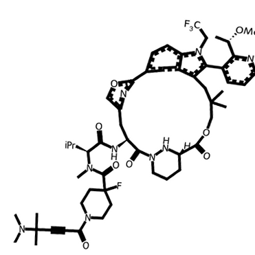 CO[C@@H](C)c1ncccc1-c1c2c3cc(ccc3n1CC(F)(F)F)-c1nc(co1)C[C@H](NC(=O)[C@H](C(C)C)N(C)C(=O)C1(F)CCN(C(=O)C#CC(C)(C)N(C)C)CC1)C(=O)N1CCC[C@H](N1)C(=O)OCC(C)(C)C2